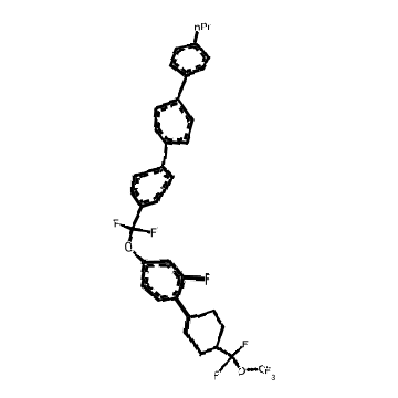 CCCc1ccc(-c2ccc(-c3ccc(C(F)(F)Oc4ccc(C5CCC(C(F)(F)OC(F)(F)F)CC5)c(F)c4)cc3)cc2)cc1